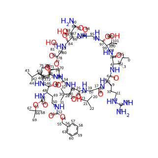 CC[C@H](C)C1NC(=O)[C@@H](CCCNC(=N)N)NC(=O)[C@H](CC(C)C)NC(=O)[C@H]([C@H](O)C(C)C)NC(=O)[C@@H](NC(=O)[C@H](CC(C)C)NC(=O)C(CCNC(=O)OCc2ccccc2)NC(=O)OC(C)(C)C)[C@@H](c2ccccc2)OC(=O)[C@H](CO)NC(=O)[C@H]([C@H](O)C(N)=O)NC(=O)CNC(=O)C([C@H](C)O)NC1=O